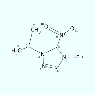 CC(C)N1N=CN(F)C1[N+](=O)[O-]